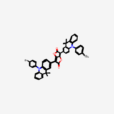 CC(C)(C)c1ccc(N2c3ccccc3C(C)(C)c3cc(C4=C5OC(=O)C(c6ccc7c(c6)C(C)(C)c6ccccc6N7c6ccc(C(C)(C)C)cc6)=C5OC4=O)ccc32)cc1